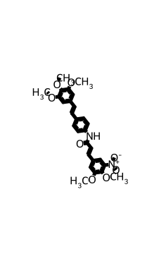 COc1cc(C=Cc2ccc(NC(=O)/C=C/c3cc(OC)c(OC)c([N+](=O)[O-])c3)cc2)cc(OC)c1OC